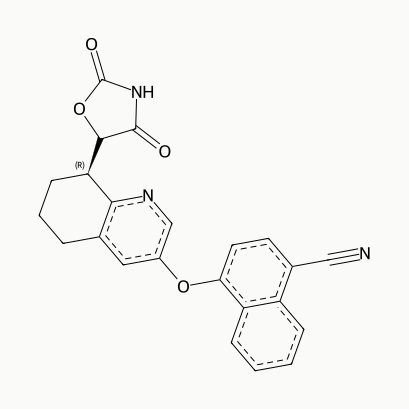 N#Cc1ccc(Oc2cnc3c(c2)CCC[C@H]3C2OC(=O)NC2=O)c2ccccc12